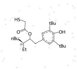 CCCC[C@H](CC)C(Cc1cc(C(C)(C)C)c(O)c(C(C)(C)C)c1)OC(=O)CS